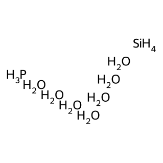 O.O.O.O.O.O.O.P.[SiH4]